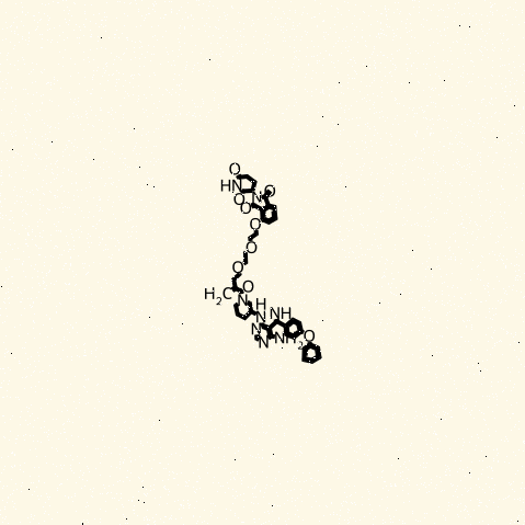 C=C(CCOCCOCCOc1cccc2c1C(=O)N(C1CCC(=O)NC1=O)C2=O)C(=O)N1CCCC(Nc2ncnc(N)c2C(=N)c2ccc(Oc3ccccc3)cc2)C1